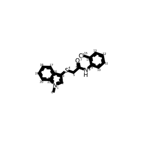 Cn1cc(SCC(=O)Nc2ccccc2Cl)c2ccccc21